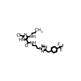 CCCNc1nc(Cl)[nH]c1C(=O)NCCCn1nnc(Cc2ccc(C(F)(F)F)cc2)n1